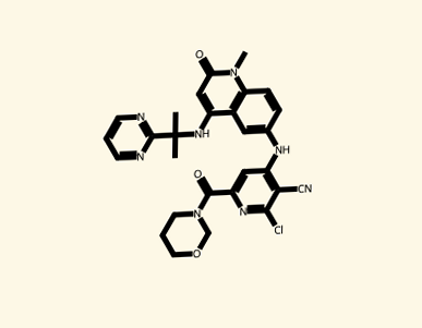 Cn1c(=O)cc(NC(C)(C)c2ncccn2)c2cc(Nc3cc(C(=O)N4CCCOC4)nc(Cl)c3C#N)ccc21